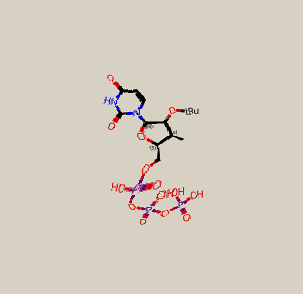 C[C@@H]1C(OC(C)(C)C)[C@H](n2ccc(=O)[nH]c2=O)O[C@@H]1COP(=O)(O)OP(=O)(O)OP(=O)(O)O